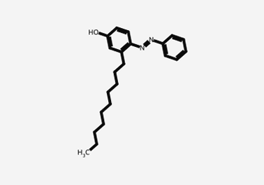 CCCCCCCCCCc1cc(O)ccc1N=Nc1ccccc1